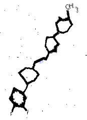 CC1CCC(C2CCC(/C=C/C3CCC(c4ccc(F)c(F)c4)CC3)CC2)CC1